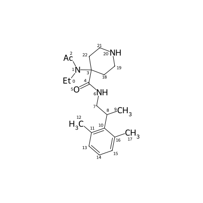 CCN(C(C)=O)C1(C(=O)NCC(C)c2c(C)cccc2C)CCNCC1